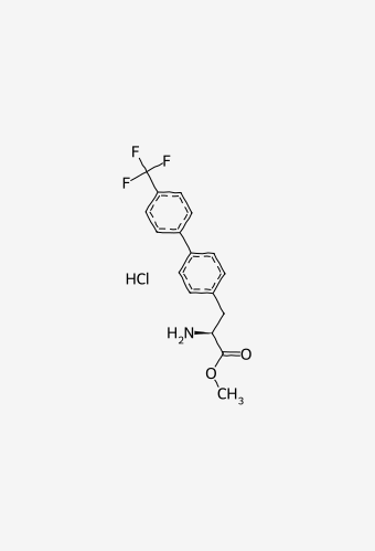 COC(=O)[C@@H](N)Cc1ccc(-c2ccc(C(F)(F)F)cc2)cc1.Cl